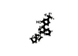 Oc1cc(C(F)(F)F)ccc1-c1nnc(N2CC[C@]3(CCCO3)C2)c2ncccc12